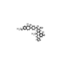 COc1ccc2c(c1)CCN(C1CCN(C(=O)CN(C=O)/C=C(\C(=O)N(C)CCn3cnnc3)c3cccc(F)c3Cl)CC1)C(=O)N2